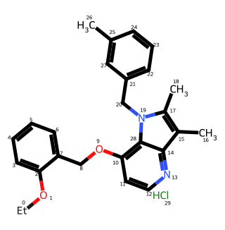 CCOc1ccccc1COc1ccnc2c(C)c(C)n(Cc3cccc(C)c3)c12.Cl